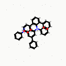 c1ccc(Nc2cc(-c3ccccc3)cc(N(c3ccccc3)c3c(-c4ccccc4)cccc3-c3ccccc3)c2)cc1